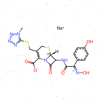 Cn1nnnc1SCC1=C(C(=O)[O-])N2C(=O)C(NC(=O)/C(=N/O)c3ccc(O)cc3)[C@H]2SC1.[Na+]